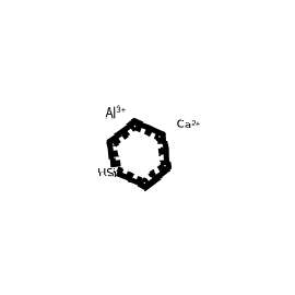 [Al+3].[Ca+2].c1cc[siH]cc1